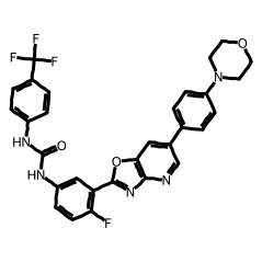 O=C(Nc1ccc(C(F)(F)F)cc1)Nc1ccc(F)c(-c2nc3ncc(-c4ccc(N5CCOCC5)cc4)cc3o2)c1